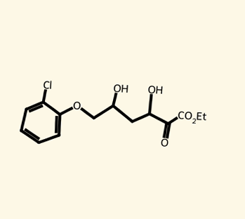 CCOC(=O)C(=O)C(O)CC(O)COc1ccccc1Cl